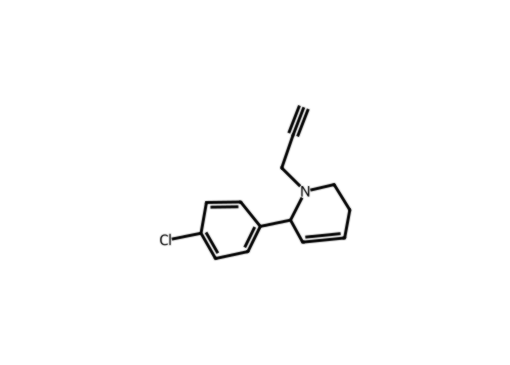 C#CCN1CCC=CC1c1ccc(Cl)cc1